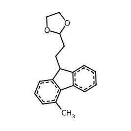 Cc1cccc2c1-c1ccccc1C2CCC1OCCO1